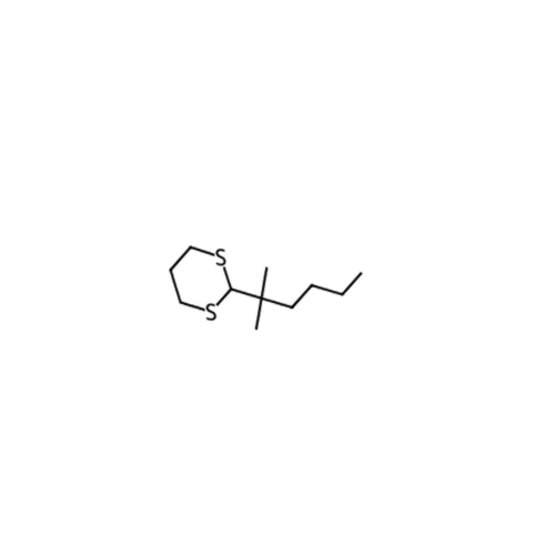 CCCCC(C)(C)C1SCCCS1